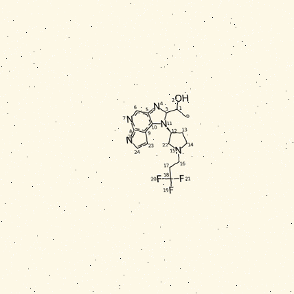 CC(O)C1N=c2cnc3c(c2N1[C@H]1CCN(CCC(F)(F)F)C1)C=CN=3